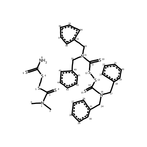 CN(C)C(=S)SSC(N)=S.S=C(SSC(=S)N(Cc1ccccc1)Cc1ccccc1)N(Cc1ccccc1)Cc1ccccc1